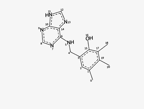 Cc1cc(CNc2ncnc3[nH]cnc23)c(O)c(C)c1C